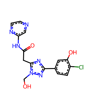 O=C(Cc1nc(-c2ccc(Cl)c(O)c2)nn1CO)Nc1cnccn1